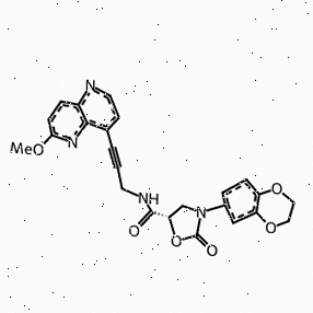 COc1ccc2nccc(C#CCNC(=O)[C@@H]3CN(c4ccc5c(c4)OCCO5)C(=O)O3)c2n1